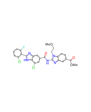 COCCn1c(NC(=O)c2cc(Cl)c3[nH]c(-c4c(F)cccc4Cl)nc3c2)nc2cc(C(=O)OC)ccc21